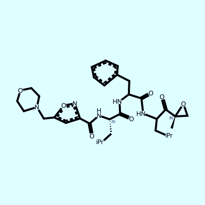 CC(C)CC(NC(=O)C(Cc1ccccc1)NC(=O)[C@H](CC(C)C)NC(=O)c1cc(CN2CCOCC2)on1)C(=O)[C@@]1(C)CO1